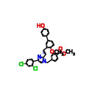 COC(=O)c1ccc(Cn2cc(-c3ccc(Cl)cc3Cl)nc2/C=C/c2cc(-c3ccc(O)cc3)ccc2OC)cc1